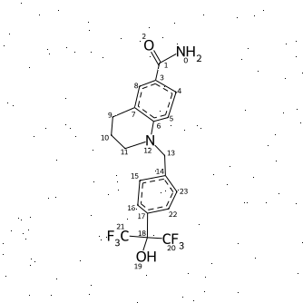 NC(=O)c1ccc2c(c1)CCCN2Cc1ccc(C(O)(C(F)(F)F)C(F)(F)F)cc1